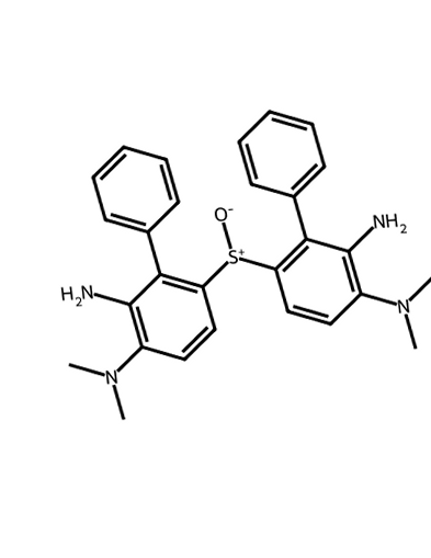 CN(C)c1ccc([S+]([O-])c2ccc(N(C)C)c(N)c2-c2ccccc2)c(-c2ccccc2)c1N